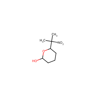 CC(C)(C1CCCC(O)O1)[N+](=O)[O-]